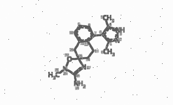 Cc1n[nH]c(C)c1-c1cccc2c1CCC1(C2)N=C(N)N(C)O1